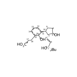 CC[C@@H](C)[C@H](O)/C=C/[C@H]1[C@H](O)CC[C@@H]1c1cccc(CCC(=O)O)c1O